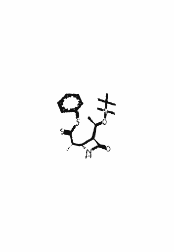 C[C@H](C(=S)Sc1ccccc1)[C@H]1NC(=O)[C@@H]1[C@@H](C)O[Si](C)(C)C(C)(C)C